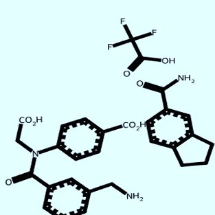 NC(=O)c1ccc2c(c1)CCC2.NCc1cccc(C(=O)N(CC(=O)O)c2ccc(C(=O)O)cc2)c1.O=C(O)C(F)(F)F